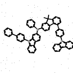 CC1(C)c2cc(N(c3ccccc3)c3ccc4c5ccccc5n(-c5ccc(-c6ccccc6)cc5)c4c3)ccc2-c2c(-c3ccc(-n4c5ccccc5c5ccccc54)cc3)cccc21